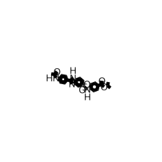 CC(=O)Nc1ccc(-c2nc3cc(S(=O)(=O)NC4CCC(C(=O)OC(C)C)CC4)ccc3[nH]2)cc1